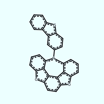 c1ccc2c(c1)sc1ccc(-n3c4cccc5oc6ccc7oc8cccc3c8c7c6c54)cc12